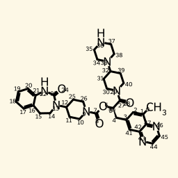 Cc1cc(C[C@@H](OC(=O)N2CCC(N3CCc4ccccc4NC3=O)CC2)C(=O)N2CCC(N3CCNCC3)CC2)cc2nccnc12